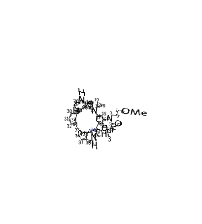 COCCCN1C(=O)C(F)(F)Oc2c3cc(cc21)N(C1CC1)C(=O)[C@H]1CNCC[C@@H]1c1cccc(c1)-c1ccc2c(c1)/C(=C\3C)NC2